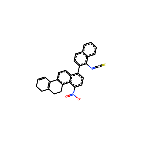 O=[N+]([O-])c1ccc(-c2ccc3ccccc3c2N=C=S)c2ccc3c(c12)CCC1=C3C=CCC1